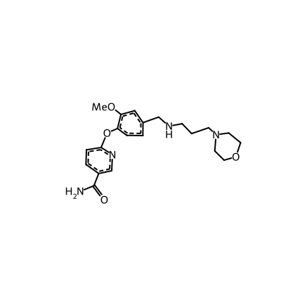 COc1cc(CNCCCN2CCOCC2)ccc1Oc1ccc(C(N)=O)cn1